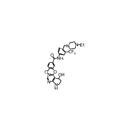 CCN1CCN(Cc2ccc(NC(=O)c3ccc(Cl)c(Oc4ncnc5c4C(O)CCN5)c3)cc2C(F)(F)F)CC1